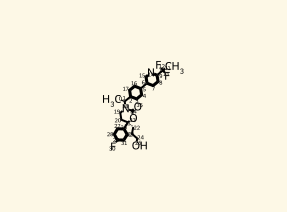 C[C@@H](c1ccc(-c2ccc(C(C)(F)F)nc2)cc1)N1CC[C@](CCCO)(c2ccc(F)cc2)OC1=O